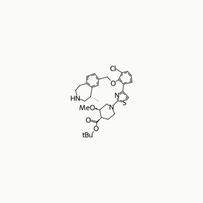 CO[C@H]1CN(c2nc(-c3cccc(Cl)c3OCc3ccc4c(c3)[C@H](C)CNCC4)cs2)CC[C@H]1C(=O)OC(C)(C)C